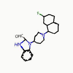 O=CC1Nc2ccccc2N1C1CCN(C2CCCC3CCC(F)CC32)CC1